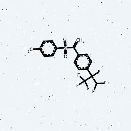 C=C(c1ccc(C(F)(C(F)F)C(F)(F)F)cc1)S(=O)(=O)c1ccc(C)cc1